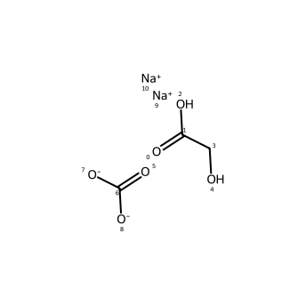 O=C(O)CO.O=C([O-])[O-].[Na+].[Na+]